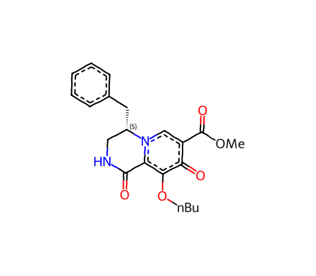 CCCCOc1c2n(cc(C(=O)OC)c1=O)[C@@H](Cc1ccccc1)CNC2=O